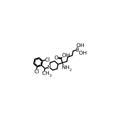 CC(c1c(Cl)cccc1Cl)N1CCC([C@@](N)(CCCCB(O)O)C(=O)O)CC1